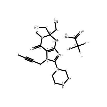 CC#CCn1c(N2CCNCC2)nc2c1C(=O)N(C)C(CC#N)(CC#N)N2.O=C(O)C(F)(F)F